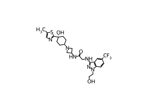 Cc1cnc([C@]2(O)CC[C@H](N3CC(NC(=O)CNc4nn(CCO)c5ccc(C(F)(F)F)cc45)C3)CC2)s1